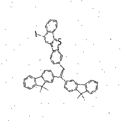 CC1(C)c2ccccc2-c2cc(/C(=C/c3ccc4c(c3)sc3c5ccccc5c(I)cc43)c3ccc4c(c3)C(C)(C)c3ccccc3-4)ccc21